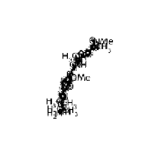 CNC(=O)c1cc(-c2ccc(NC(=O)c3cc(NC(=O)CCCOc4cc5c(cc4OC)C(=O)N4C=C(c6ccc(C(C)(C)OCC(C)(C)NN)cc6)CC4C=N5)cn3C)cc2)cn1C